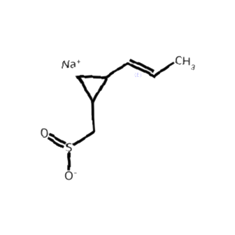 C/C=C/C1CC1CS(=O)[O-].[Na+]